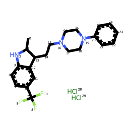 CC1Nc2ccc(C(F)(F)F)cc2C1CCN1CCN(c2ccccc2)CC1.Cl.Cl